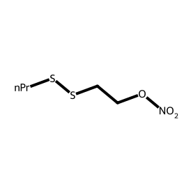 CCCSSCCO[N+](=O)[O-]